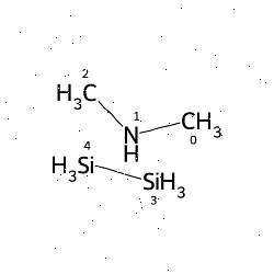 CNC.[SiH3][SiH3]